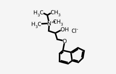 CC(C)[N+](C)(C)CC(O)COc1cccc2ccccc12.[Cl-]